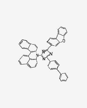 c1ccc(-c2ccc(-c3nc(-c4ccc5c(c4)oc4ccccc45)nc(N4c5ccc6ccccc6c5-c5cccc6cccc4c56)n3)cc2)cc1